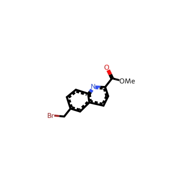 COC(=O)c1ccc2cc(CBr)ccc2n1